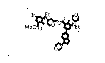 CCN(c1cc(Br)cc(C(=O)OC)c1C)C1CCOC(COC(=O)c2cc(-c3ccc4c(c3)CCC4N3CCOCC3)cc(N(CC)C3CCOCC3)c2C)C1